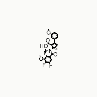 COc1cccc(-c2csc(NC(=O)c3cc(F)c(F)c(OC)c3F)c2C(=O)O)c1